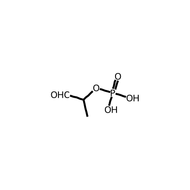 CC(C=O)OP(=O)(O)O